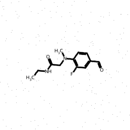 CCNC(=O)CN(C)c1ccc(C=O)cc1F